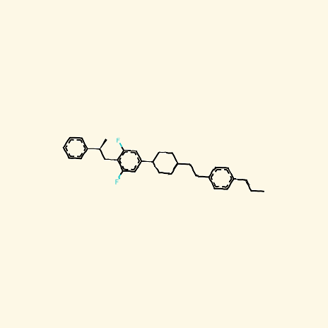 CCCc1ccc(CCC2CCC(c3cc(F)c(C[C@H](C)c4ccccc4)c(F)c3)CC2)cc1